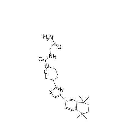 CC1(C)CCC(C)(C)c2cc(-c3csc(C4CCN(C(=O)NCC(N)=O)CC4)n3)ccc21